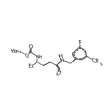 CCC(CCC(=O)NCc1cc(F)cc(C(F)(F)F)c1)NC(=O)OC(C)(C)C